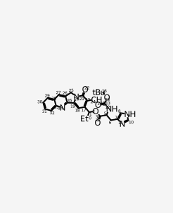 CCC(OC(=O)C(Cc1c[nH]cn1)NC(=O)OC(C)(C)C)c1cc2n(c(=O)c1C)Cc1cc3ccccc3nc1-2